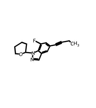 CCC#Cc1cc(F)c2c(cnn2C2CCCCO2)c1